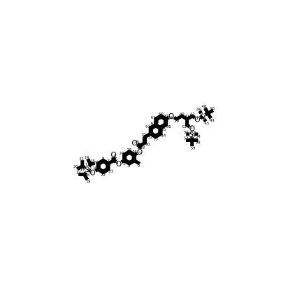 Cc1cc(OC(=O)c2ccc(O[Si](C(C)C)(C(C)C)C(C)C)cc2)ccc1OC(=O)/C=C/c1ccc2cc(OCCC(CO[Si](C)(C)C(C)(C)C)CO[Si](C)(C)C(C)(C)C)ccc2c1